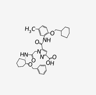 Cc1ccc(OCC2CCCCC2)c(NC(=O)c2cc(C(=O)O)nn2CC(=O)N[C@H]2CCCC[C@@H]2OCc2ccccc2)c1